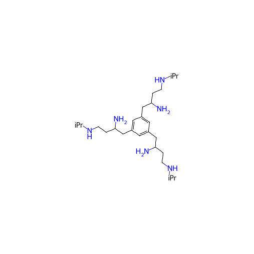 CC(C)NCCC(N)Cc1cc(CC(N)CCNC(C)C)cc(CC(N)CCNC(C)C)c1